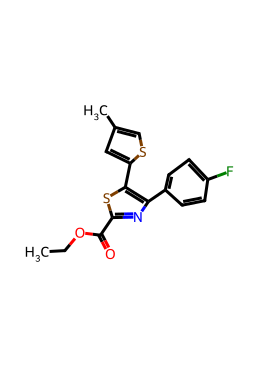 CCOC(=O)c1nc(-c2ccc(F)cc2)c(-c2cc(C)cs2)s1